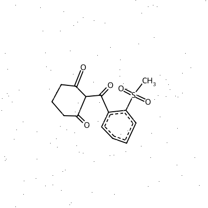 CS(=O)(=O)c1ccccc1C(=O)C1C(=O)CCCC1=O